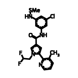 CSNc1cc(Cl)cc(NC(=O)c2cc(-c3ncccc3C)n(CC(F)F)c2)c1